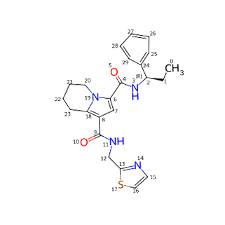 CC[C@@H](NC(=O)c1cc(C(=O)NCc2nccs2)c2n1CCCC2)c1ccccc1